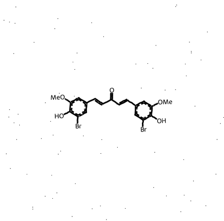 COc1cc(C=CC(=O)C=Cc2cc(Br)c(O)c(OC)c2)cc(Br)c1O